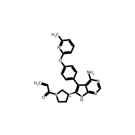 C=CC(=O)N1CC[C@H](c2[nH]c3ncnc(N)c3c2-c2ccc(Oc3cccc(C)n3)cc2)C1